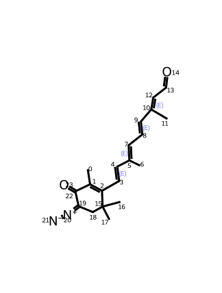 CC1=C(/C=C/C(C)=C/C=C/C(C)=C/C=O)C(C)(C)CC(=[N+]=[N-])C1=O